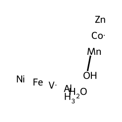 O.[AlH3].[Co].[Fe].[Ni].[OH][Mn].[V].[Zn]